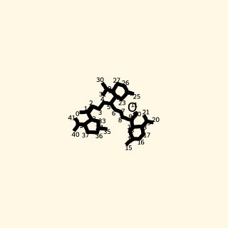 CC(=CCCC(CCCC(C=O)C1CC(C)CCC1C(C)C)C1CC(C)CCC1C(C)C)C1CC(C)CCC1C(C)C